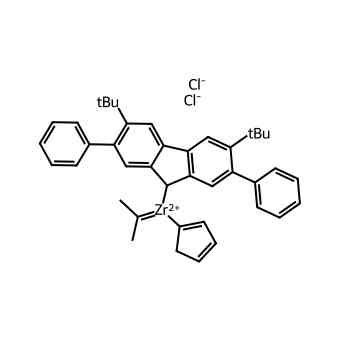 C[C](C)=[Zr+2]([C]1=CC=CC1)[CH]1c2cc(-c3ccccc3)c(C(C)(C)C)cc2-c2cc(C(C)(C)C)c(-c3ccccc3)cc21.[Cl-].[Cl-]